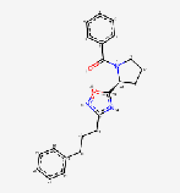 O=C(c1ccccc1)N1CCC[C@H]1c1nc(CCCc2ccccc2)no1